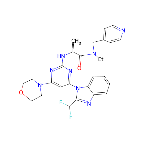 CCN(Cc1ccncc1)C(=O)[C@H](C)Nc1nc(N2CCOCC2)cc(-n2c(C(F)F)nc3ccccc32)n1